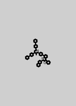 Cc1c(-c2ccc(-c3ccccc3)cc2)cc(-c2ccc(-c3ccccc3)cc2)nc1-c1ccc(-c2cccc3c2nc(-c2ccc4ccccc4c2)c2oc4ccccc4c23)cc1